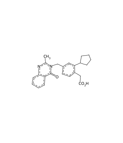 Cc1nc2ccccc2c(=O)n1Cc1ccc(CC(=O)O)c(C2CCCC2)c1